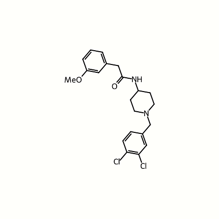 COc1cccc(CC(=O)NC2CCN(Cc3ccc(Cl)c(Cl)c3)CC2)c1